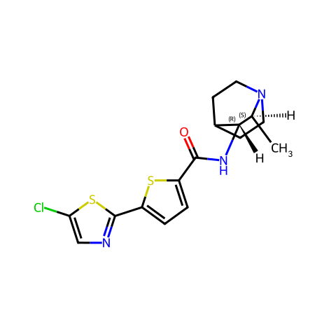 C[C@H]1[C@H](NC(=O)c2ccc(-c3ncc(Cl)s3)s2)C2CCN1CC2